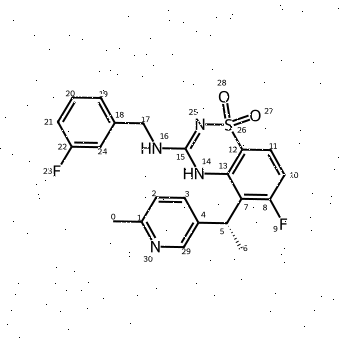 Cc1ccc([C@@H](C)c2c(F)ccc3c2NC(NCc2cccc(F)c2)=NS3(=O)=O)cn1